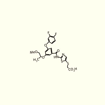 COC[C@H](C)Oc1cc(Oc2ccc(F)c(F)c2)cc(C(=O)Nc2ncc(SCC(=O)O)s2)c1